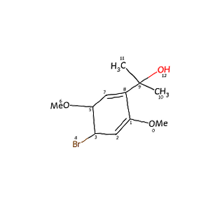 COC1=CC(Br)C(OC)C=C1C(C)(C)O